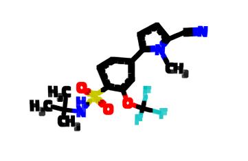 Cn1c(C#N)ccc1-c1ccc(S(=O)(=O)NC(C)(C)C)c(OC(F)(F)F)c1